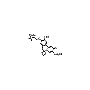 CCOC(=O)c1cn2c(cc1=O)-c1cc(C=O)c(OCCC(C)(C)OC)cc1CC21CCC1